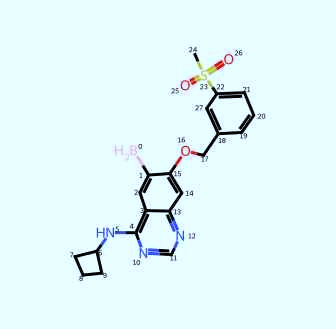 Bc1cc2c(NC3CCC3)ncnc2cc1OCc1cccc(S(C)(=O)=O)c1